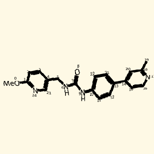 COc1ccc(CNC(=O)Nc2ccc(-c3ccnc(C)c3)cc2)cn1